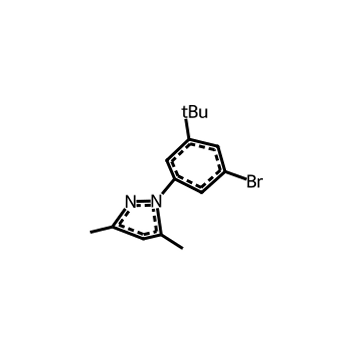 Cc1cc(C)n(-c2cc(Br)cc(C(C)(C)C)c2)n1